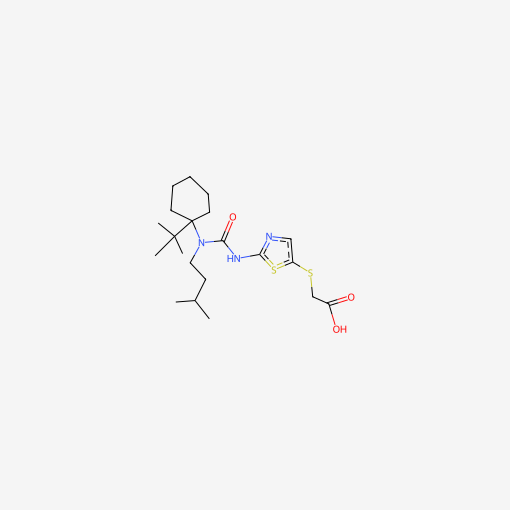 CC(C)CCN(C(=O)Nc1ncc(SCC(=O)O)s1)C1(C(C)(C)C)CCCCC1